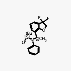 C[C@H](c1cccc2c1OCC2(F)F)N(c1ccccc1)[S@+]([O-])C(C)(C)C